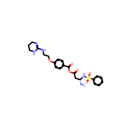 N[C@H](CC(=O)OC(=O)c1ccc(OCCNC2=NCCCN2)cc1)NS(=O)(=O)c1ccccc1